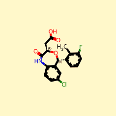 Cc1c(F)cccc1[C@H]1O[C@H](CC(=O)O)C(=O)Nc2ccc(Cl)cc21